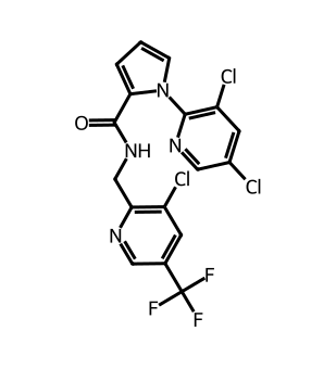 O=C(NCc1ncc(C(F)(F)F)cc1Cl)c1cccn1-c1ncc(Cl)cc1Cl